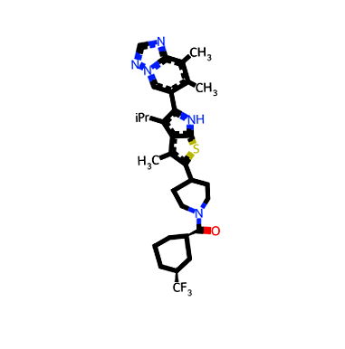 Cc1c(-c2[nH]c3sc(C4CCN(C(=O)[C@@H]5CCC[C@H](C(F)(F)F)C5)CC4)c(C)c3c2C(C)C)cn2ncnc2c1C